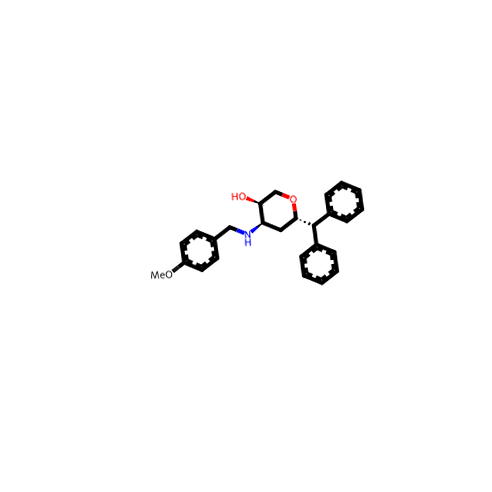 COc1ccc(CN[C@@H]2C[C@@H](C(c3ccccc3)c3ccccc3)OC[C@@H]2O)cc1